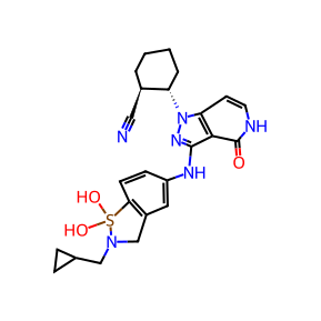 N#C[C@H]1CCCC[C@@H]1n1nc(Nc2ccc3c(c2)CN(CC2CC2)S3(O)O)c2c(=O)[nH]ccc21